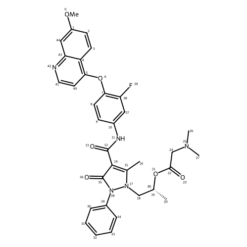 COc1ccc2c(Oc3ccc(NC(=O)c4c(C)n(C[C@@H](C)OC(=O)CN(C)C)n(-c5ccccc5)c4=O)cc3F)ccnc2c1